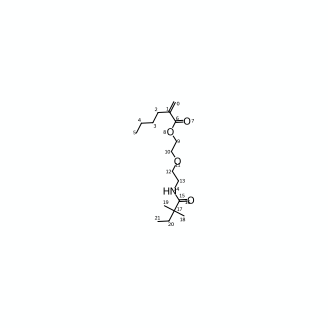 C=C(CCCC)C(=O)OCCOCCNC(=O)C(C)(C)CC